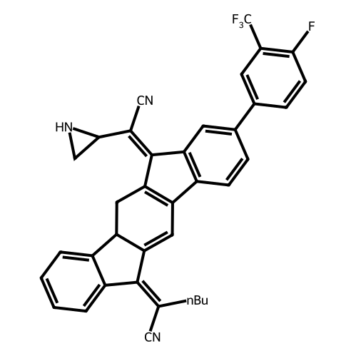 CCCC/C(C#N)=C1\C2=CC3=C(CC2c2ccccc21)/C(=C(/C#N)C1CN1)c1cc(-c2ccc(F)c(C(F)(F)F)c2)ccc13